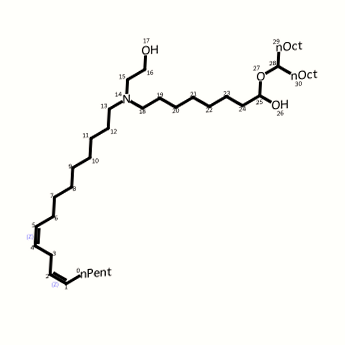 CCCCC/C=C\C/C=C\CCCCCCCCN(CCO)CCCCCCCC(O)OC(CCCCCCCC)CCCCCCCC